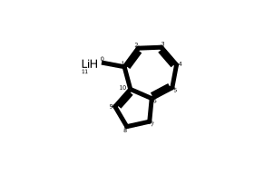 CC1=CC=CC=C2CCC=C12.[LiH]